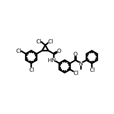 CN(C(=O)c1cc(NC(=O)C2C(c3cc(Cl)cc(Cl)c3)C2(Cl)Cl)ccc1Cl)c1ccccc1Cl